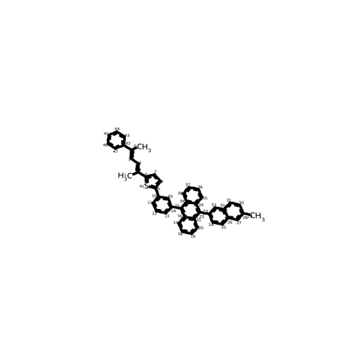 C/C(=C\C=C(/C)c1ccc(-c2cccc(-c3c4ccccc4c(-c4ccc5cc(C)ccc5c4)c4ccccc34)c2)s1)c1ccccc1